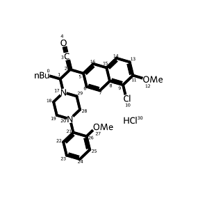 CCCCC(C(=C=O)c1ccc2c(Cl)c(OC)ccc2c1)N1CCN(c2ccccc2OC)CC1.Cl